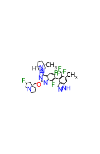 Cc1cc2[nH]ncc2c(-c2c(F)cc3c(N4C[C@H]5CC[C@@](C)(C4)N5)nc(OC[C@@]45CCCN4C[C@H](F)C5)nc3c2F)c1C(F)(F)F